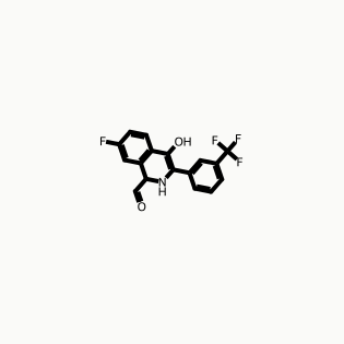 O=CC1NC(c2cccc(C(F)(F)F)c2)=C(O)c2ccc(F)cc21